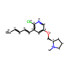 CN1CCC[C@@H]1COc1cnc(Cl)c(C=CC=CC(C)(C)C)c1